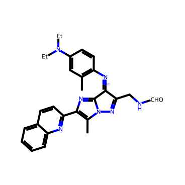 CCN(CC)c1ccc(/N=C2/C(CNC=O)=Nn3c2nc(-c2ccc4ccccc4n2)c3C)c(C)c1